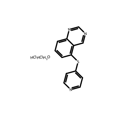 Cl.Cl.O.c1cc(Sc2ccncc2)c2cncnc2c1